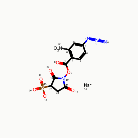 [N-]=[N+]=Nc1ccc(C(=O)ON2C(=O)CC(S(=O)(=O)[O-])C2=O)c([N+](=O)[O-])c1.[Na+]